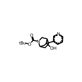 CC(C)(C)OC(=O)N1CC2CCC1CC2(O)c1cccnc1